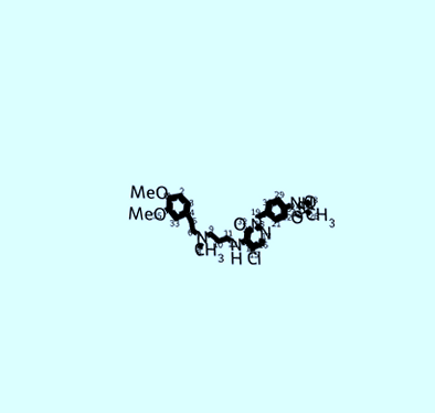 COc1ccc(CCN(C)CCCNc2c(Cl)cnn(Cc3ccc(NS(C)(=O)=O)cc3)c2=O)cc1OC